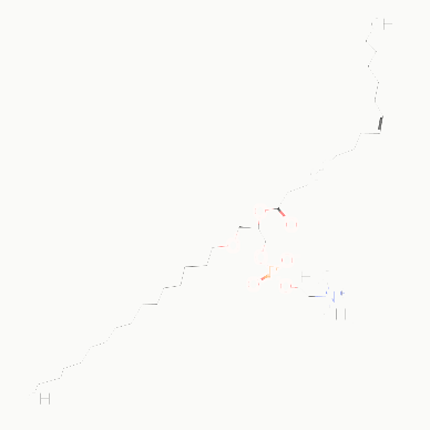 CCCCCC/C=C\CCCCCCCC(=O)O[C@H](COCCCCCCCCCCCCCCCC)COP(=O)([O-])OCC[N+](C)(C)C